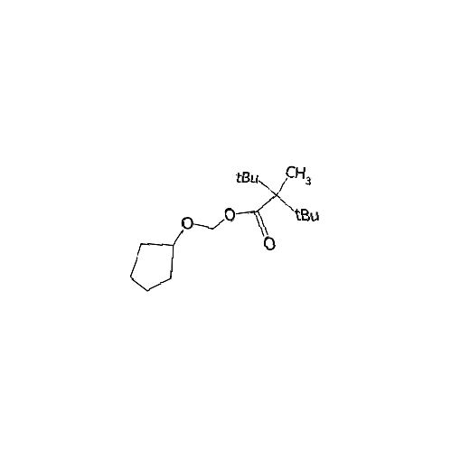 CC(C)(C)C(C)(C(=O)OCOC1CCCC1)C(C)(C)C